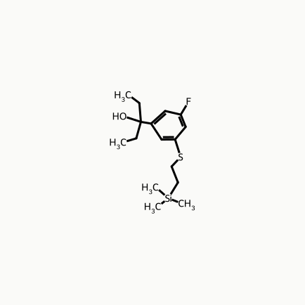 CCC(O)(CC)c1cc(F)cc(SCC[Si](C)(C)C)c1